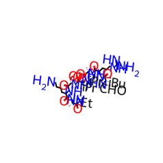 CCNC(=O)[C@H](C)NC(=O)C(CCCCN)NC(=O)[C@H](CO)NC(=O)C(C(C)C)N(C(=O)[C@H](C)NC(=O)C(CCCNC(=N)N)NC(=O)[C@@H](NC=O)C(C)CC)C(C)C